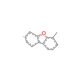 Cc1cccc2c1oc1c[c]ccc12